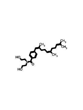 CC(C)=CCCC(C)=CCCC(C)=Cc1ccc(C(=O)N(CCO)CCO)cc1